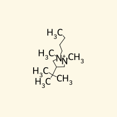 CCCC[N+]1(C)CC(C(C)(C)C)CN1C